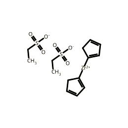 C1=CC[C]([Zr+2][C]2=CC=CC2)=C1.CCS(=O)(=O)[O-].CCS(=O)(=O)[O-]